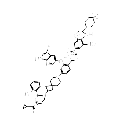 CC(C)c1ccccc1[C@@H]1CN(C(=O)C2CC2)CCN1C1CC2(CCN(c3ccc(C(=O)NS(=O)(=O)c4cc5c(c([N+](=O)[O-])c4)N[C@@H]([C@H]4CC[C@](C)(O)CC4)CO5)c(Oc4cnc5[nH]cc(F)c5c4)c3)CC2)C1